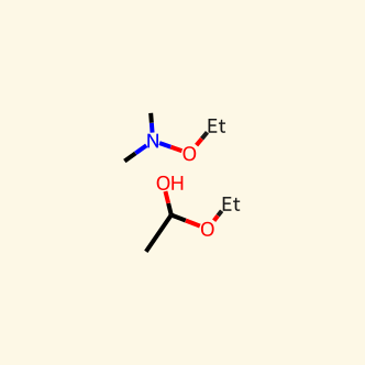 CCOC(C)O.CCON(C)C